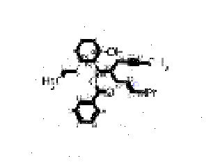 C=CC[C@@H]1CCC[C@H](O)[C@H]1[C@H](OC(=O)c1ccccc1)C(CC#CC)C/C=C/C(C)C